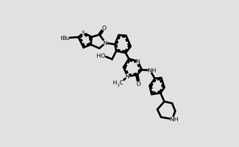 Cn1cc(-c2cccc(N3Cc4cc(C(C)(C)C)sc4C3=O)c2CO)nc(Nc2ccc(C3CCNCC3)cc2)c1=O